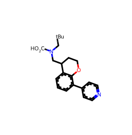 CC(C)(C)CN(CC1CCOc2c(-c3ccncc3)cccc21)C(=O)O